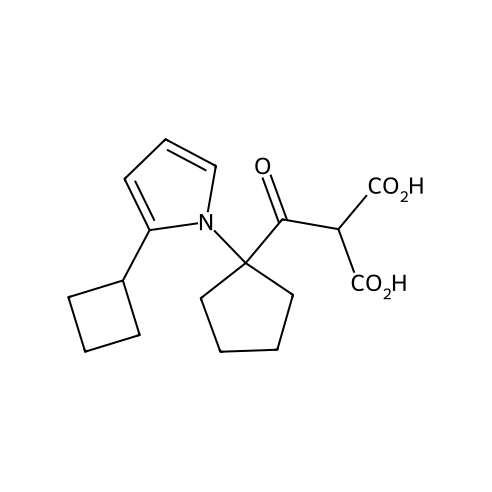 O=C(O)C(C(=O)O)C(=O)C1(n2cccc2C2CCC2)CCCC1